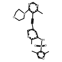 Cc1coc(C)c1S(=O)(=O)Nc1cc(C#Cc2c(C)ncnc2N2CCOCC2)cnc1C